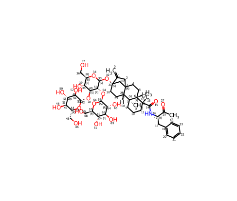 C=C1C[C@@]23CC[C@H]4[C@@](C)(CCC[C@@]4(C)C(=O)N[C@H](Cc4ccccc4)C(C)=O)[C@@H]2CC[C@]1(O[C@@H]1O[C@H](CO)[C@@H](O)[C@H](O[C@@H]2O[C@H](CO)[C@@H](O)[C@H](O)[C@H]2O)[C@H]1O[C@@H]1O[C@H](CO)[C@@H](O)[C@H](O)[C@H]1O)C3